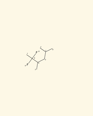 CC(C)CC(C)C(C)(F)F